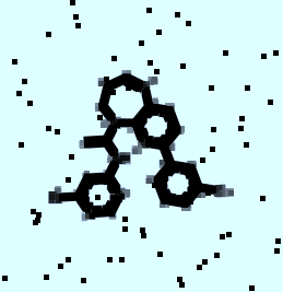 C=C(Nc1cc(CC)ncn1)N1CCC=Nc2ccc(-c3cccc(Cl)c3)nc21